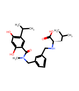 CC(C)C[C@H](NCc1cccc(CN(C)C(=O)c2cc(C(C)C)c(O)cc2O)c1)C(=O)O